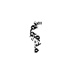 CC(CN(C)Cc1ccccc1)NCc1cccc(C(=O)N2[C@H](C)CN(Cc3ccc(C(=O)NO)cc3)C[C@@H]2C)c1